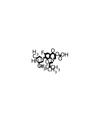 CC1CN(c2c(F)cc3c(=O)c(OC(=O)O)cn4c3c2OC(C(C)(C)C)=C4)CC(C)N1